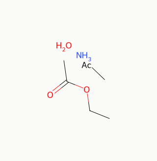 CC(C)=O.CCOC(C)=O.N.O